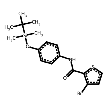 CC(C)(C)[Si](C)(C)Oc1ccc(NC(=O)c2sccc2Br)cc1